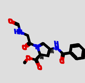 COC(=O)[C@@H]1C[C@@H](NC(=O)c2ccccc2)CN1C(=O)CNC=O